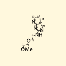 COCCOCCNc1ncc2cccnc2n1